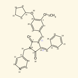 COc1cc(/C=C2\C(=O)N(Cc3ccncc3)C(=O)\C2=C\c2ccccc2)ccc1OC1CCCC1